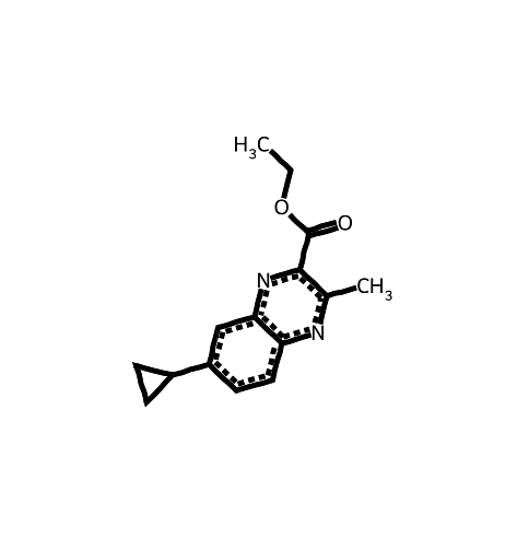 CCOC(=O)c1nc2cc(C3CC3)ccc2nc1C